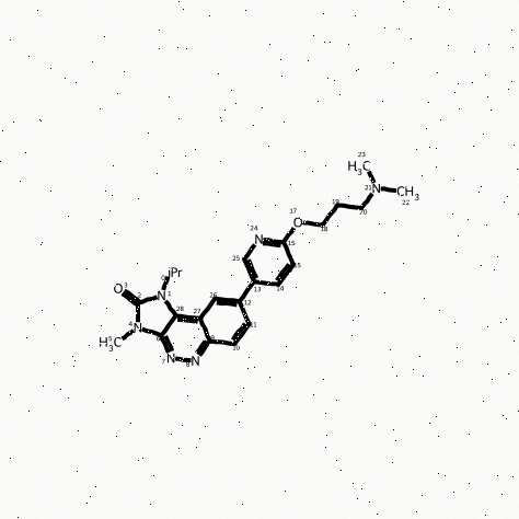 CC(C)n1c(=O)n(C)c2nnc3ccc(-c4ccc(OCCCN(C)C)nc4)cc3c21